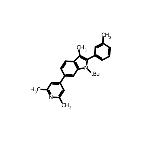 Cc1cccc(-c2c(C)c3ccc(-c4cc(C)nc(C)c4)cc3n2C(C)(C)C)c1